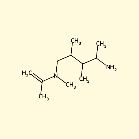 C=C(C)N(C)CC(C)C(C)C(C)N